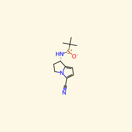 CC(C)(C)[S+]([O-])N[C@H]1CCn2c(C#N)ccc21